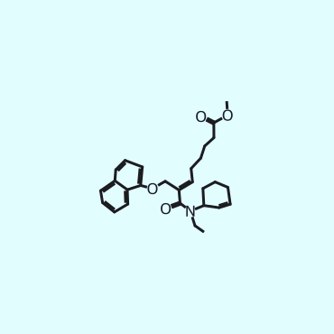 CCN(C(=O)/C(=C/CCCCC(=O)OC)COc1cccc2ccccc12)C1C=CCCC1